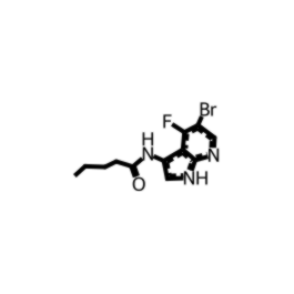 CCCCC(=O)Nc1c[nH]c2ncc(Br)c(F)c12